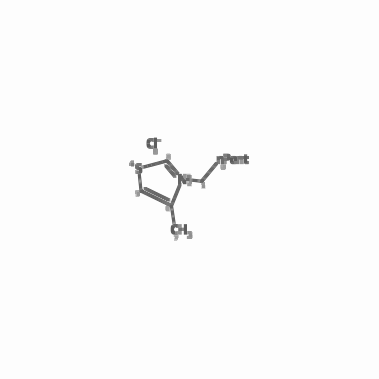 CCCCCC[n+]1cscc1C.[Cl-]